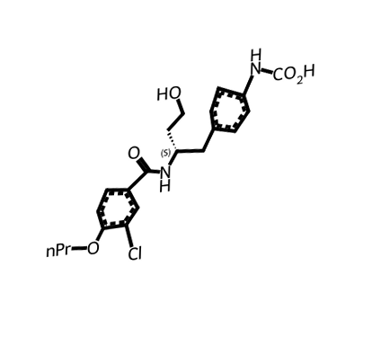 CCCOc1ccc(C(=O)N[C@H](CCO)Cc2ccc(NC(=O)O)cc2)cc1Cl